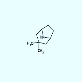 [CH2]C1(C)CC2CCC(C1)N2